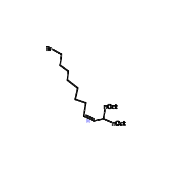 CCCCCCCCC(/C=C\CCCCCCCBr)CCCCCCCC